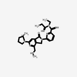 CCC(=N)N(CC)C(=N)c1cccc(N2Cc3c(cc(N4CCC[C@H]4C)nc3CNC)C2=O)n1